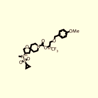 COc1ccc(COC[C@@H](OC(=O)N2CCC3(CC2)C[C@@H](N(C)S(=O)(=O)C2CC2)CO3)C(F)(F)F)cc1